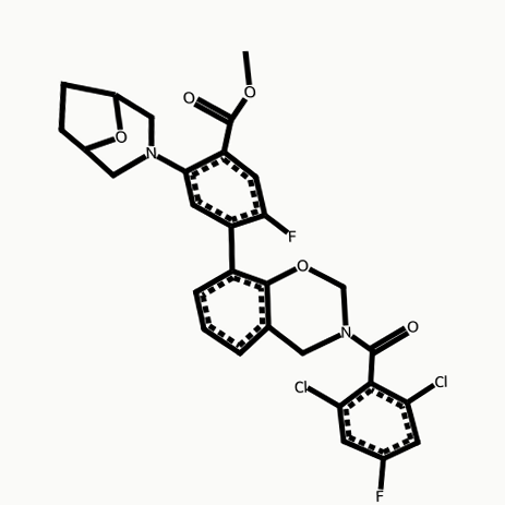 COC(=O)c1cc(F)c(-c2cccc3c2OCN(C(=O)c2c(Cl)cc(F)cc2Cl)C3)cc1N1CC2CCC(C1)O2